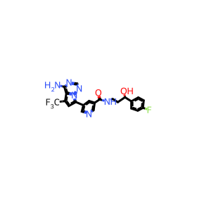 Nc1ncnn2c(-c3cncc(C(=O)NCCC(O)c4ccc(F)cc4)c3)cc(C(F)(F)F)c12